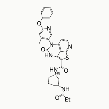 CCC(=O)NC1CCC[C@@H](NC(=O)c2sc3nccc4c3c2NC(=O)N4c2cnc(Oc3ccccc3)cc2C)C1